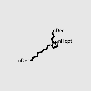 CCCCCCCCCCCCCCCCCCN1C=CN(CCCCCCC)C1CCCCCCCCCCCCC